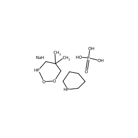 C1CCPCC1.CC1(C)COOPC1.O=P(O)(O)O.[NaH]